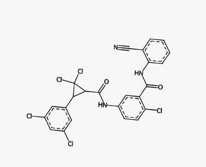 N#Cc1ccccc1NC(=O)c1cc(NC(=O)C2C(c3cc(Cl)cc(Cl)c3)C2(Cl)Cl)ccc1Cl